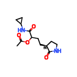 CC(=O)OC(CC[C@H]1CCNC1=O)C(=O)NC1CC1